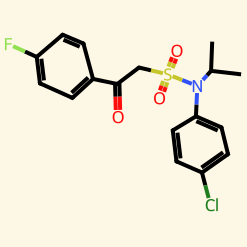 CC(C)N(c1ccc(Cl)cc1)S(=O)(=O)CC(=O)c1ccc(F)cc1